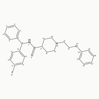 O=C(NC(c1ccccc1)c1ccc(F)cc1)C1CCN(CCOc2ccccc2)CC1